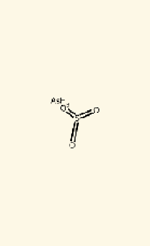 O=S(=O)=O.[AsH3]